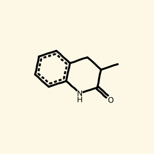 CC1Cc2ccccc2NC1=O